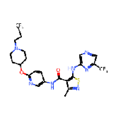 Cc1nsc(Nc2cncc(C(F)(F)F)n2)c1C(=O)Nc1ccc(OC2CCN(CCC(F)(F)F)CC2)nc1